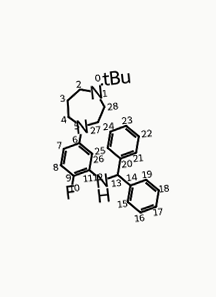 CC(C)(C)N1CCCN(c2ccc(F)c(NC(c3ccccc3)c3ccccc3)c2)CC1